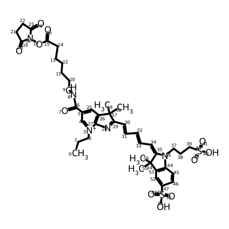 CCC[n+]1cc(C(=O)NOCCCCCC(=O)ON2C(=O)CCC2=O)cc2c1N=C(/C=C/C=C/C=C1/N(CCCS(=O)(=O)O)c3ccc(S(=O)(=O)O)cc3C1(C)C)C2(C)C